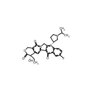 CC[C@@]1(O)C(=O)OCc2c1cc1n(c2=O)Cc2c-1c(=O)c1cc(F)ccc1n2[C@@H]1CCN(C(C)C)C1